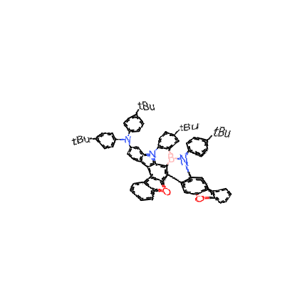 CC(C)(C)c1ccc(N2B3c4cc(C(C)(C)C)ccc4-n4c5cc(N(c6ccc(C(C)(C)C)cc6)c6ccc(C(C)(C)C)cc6)ccc5c5c6c(oc7ccccc76)c(c3c54)-c3cc4oc5ccccc5c4cc32)cc1